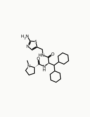 CN1CCC[C@H]1C(=O)N[C@@H](C(=O)NCc1cnc(N)s1)C(C1CCCCC1)C1CCCCC1